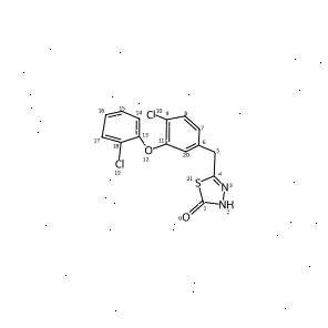 O=c1[nH]nc(Cc2ccc(Cl)c(Oc3ccccc3Cl)c2)s1